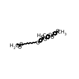 C=CC(=O)OCCCCCCCCCCOc1ccc(C(=O)Oc2ccc(OC(=O)c3ccc(OC)cc3)cc2C)cc1